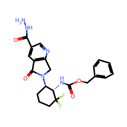 NNC(=O)c1cnc2c(c1)C(=O)N([C@@H]1CCCC(F)(F)[C@H]1NC(=O)OCc1ccccc1)C2